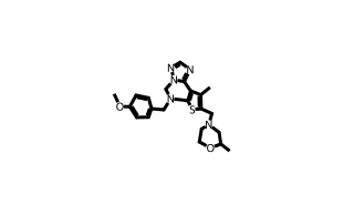 COc1ccc(CN2Cn3ncnc3-c3c2sc(CN2CCOC(C)C2)c3C)cc1